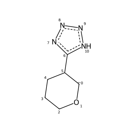 [C]1OCCCC1c1nnn[nH]1